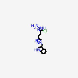 Nc1nc(CCc2cn(Cc3c[nH]c4ccccc34)nn2)c(Cl)[nH]1